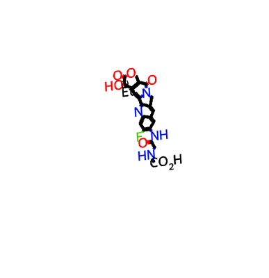 CC[C@@]1(O)C(=O)OCc2c1cc1n(c2=O)Cc2cc3cc(NC(=O)CNC(=O)O)c(F)cc3nc2-1